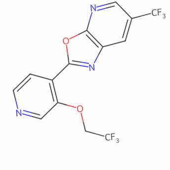 FC(F)(F)COc1cnccc1-c1nc2cc(C(F)(F)F)cnc2o1